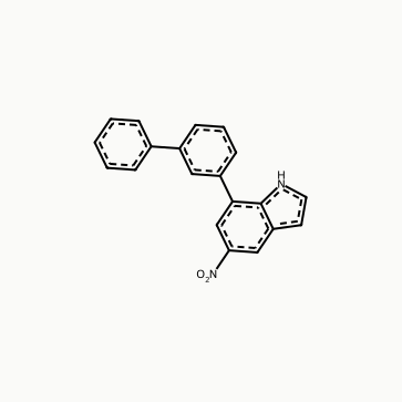 O=[N+]([O-])c1cc(-c2cccc(-c3ccccc3)c2)c2[nH]ccc2c1